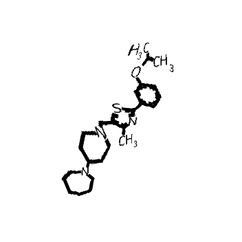 Cc1nc(-c2cccc(OC(C)C)c2)sc1CN1CCC(N2CCCCCC2)CC1